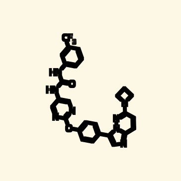 O=C(Nc1cnc(Oc2ccc(-c3cnc4ccc(N5CCC5)nn34)cc2)nc1)Nc1cccc(C(F)(F)F)c1